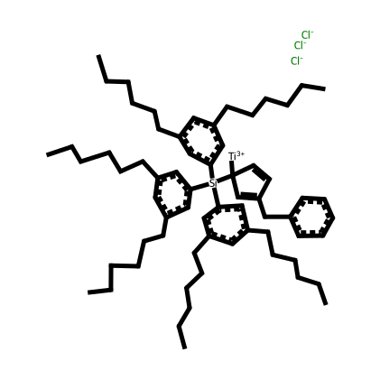 CCCCCCc1cc(CCCCCC)cc([Si](c2cc(CCCCCC)cc(CCCCCC)c2)(c2cc(CCCCCC)cc(CCCCCC)c2)[C]2([Ti+3])C=CC(Cc3ccccc3)=C2)c1.[Cl-].[Cl-].[Cl-]